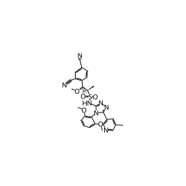 COc1cccc(OC)c1-n1c(NS(=O)(=O)[C@H](C)[C@@H](OC)c2ccc(C#N)cc2C#N)nnc1-c1cncc(C)c1